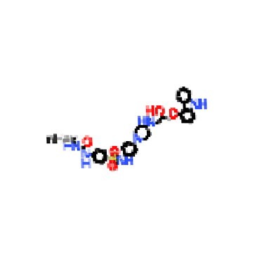 CCCCCCNC(=O)Nc1ccc(S(=O)(=O)Nc2ccc(N3CCC(NC[C@H](O)COc4cccc5[nH]c6ccccc6c45)CC3)cc2)cc1